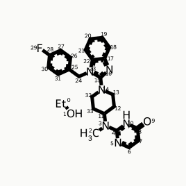 CCO.CN(c1nccc(=O)[nH]1)C1CCN(c2nc3ccccc3n2Cc2ccc(F)cc2)CC1